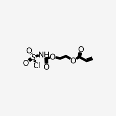 C=CC(=O)OCCOC(=O)NS(=O)(=O)Cl